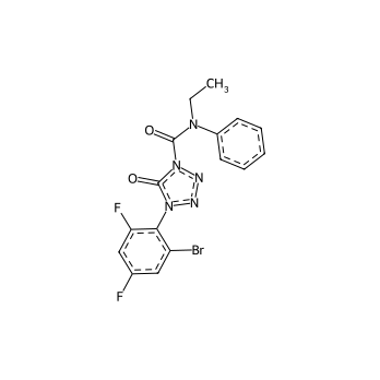 CCN(C(=O)n1nnn(-c2c(F)cc(F)cc2Br)c1=O)c1ccccc1